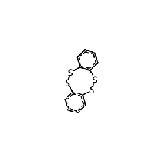 c1ccc2c(c1)SSc1ccccc1SS2